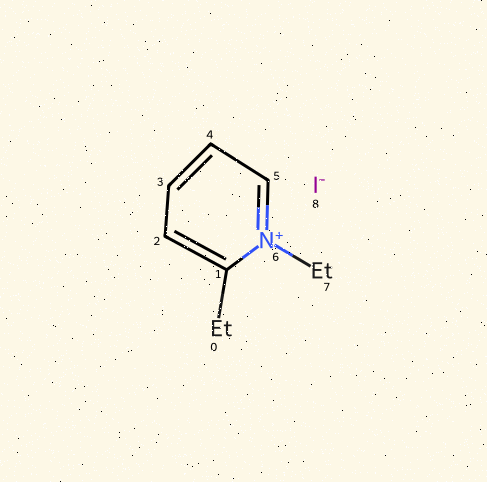 CCc1cccc[n+]1CC.[I-]